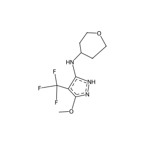 COc1n[nH]c(NC2CCOCC2)c1C(F)(F)F